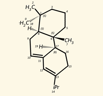 [CH2][C@]1(C)CCC[C@@]2(C)[C@H]1CC=C1C=C(C(C)C)CC[C@@H]12